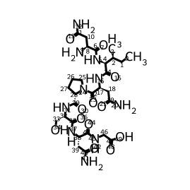 CC[C@H](C)[C@H](NC(=O)[C@@H](N)CC(N)=O)C(=O)N[C@@H](CC(N)=O)C(=O)N1CCC[C@H]1C(=O)N[C@@H](CO)C(=O)N[C@@H](CC(N)=O)C(=O)NCC(=O)O